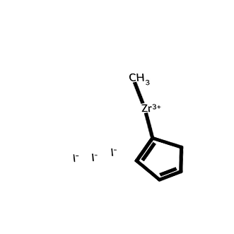 [CH3][Zr+3][C]1=CC=CC1.[I-].[I-].[I-]